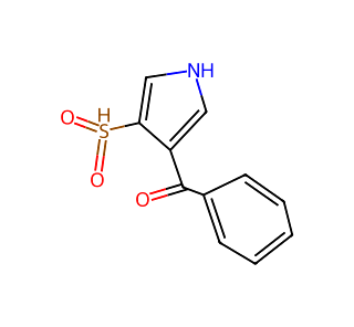 O=C(c1ccccc1)c1c[nH]cc1[SH](=O)=O